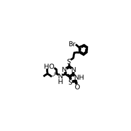 CC(C)C[C@H](CO)Nc1nc(SCCc2ccccc2Br)nc2[nH]c(=O)sc12